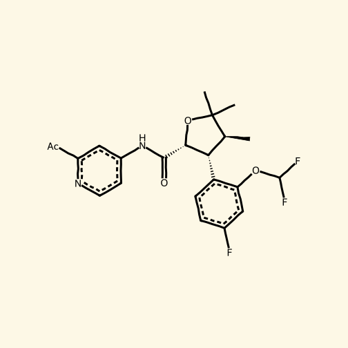 CC(=O)c1cc(NC(=O)[C@@H]2OC(C)(C)[C@@H](C)[C@@H]2c2ccc(F)cc2OC(F)F)ccn1